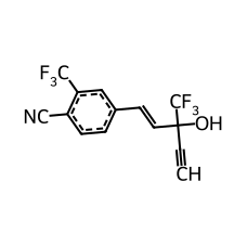 C#CC(O)(/C=C/c1ccc(C#N)c(C(F)(F)F)c1)C(F)(F)F